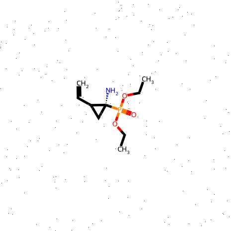 C=CC1C[C@]1(N)P(=O)(OCC)OCC